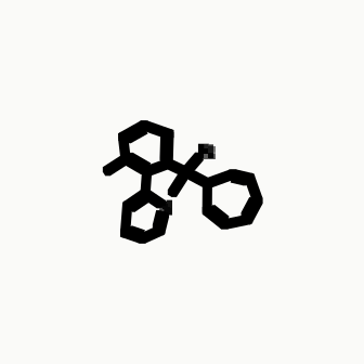 CCC(C)(c1cccc(C)c1-c1ccccn1)C1C=CC=CC=C1